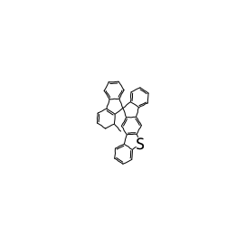 CC1CC=CC2=C1C1(c3ccccc32)c2ccccc2-c2cc3sc4ccccc4c3cc21